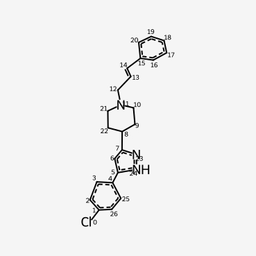 Clc1ccc(-c2cc(C3CCN(C/C=C/c4ccccc4)CC3)n[nH]2)cc1